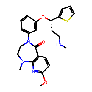 CNCC[C@H](Oc1cccc(N2CCN(C)c3nc(OC)ccc3C2=O)c1)c1cccs1